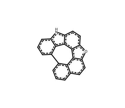 c1cc2c3c(c1)ccc1oc4ccc5[nH]c6cccc-2c6c5c4c13